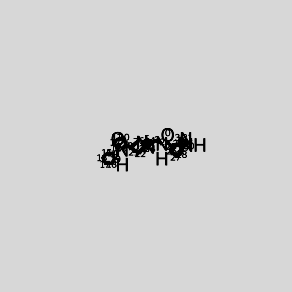 O=C(NCc1cn2cc([C@H]3COC[C@@H](C4CCCCC4)N3)ccc2n1)c1cccc2[nH]ncc12